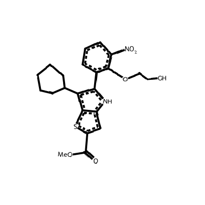 COC(=O)c1cc2[nH]c(-c3cccc([N+](=O)[O-])c3OCCO)c(C3CCCCC3)c2s1